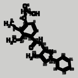 CCc1c(O[PH](=O)O)ccc(C(=O)Nc2nn(-c3ccccc3)cc2N)c1CC